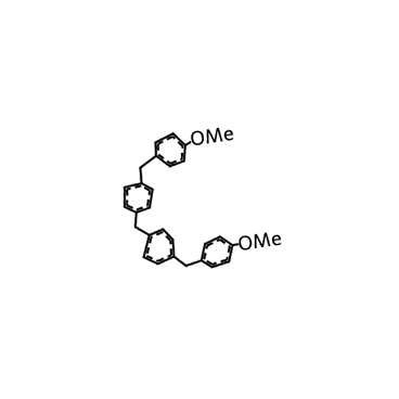 COc1ccc(Cc2ccc(Cc3ccc(Cc4ccc(OC)cc4)cc3)cc2)cc1